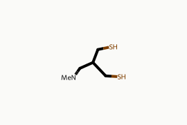 CNCC(CS)CS